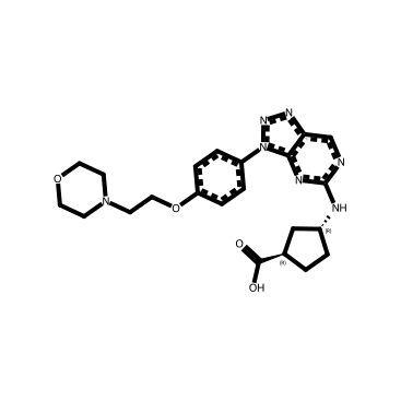 O=C(O)[C@@H]1CC[C@@H](Nc2ncc3nnn(-c4ccc(OCCN5CCOCC5)cc4)c3n2)C1